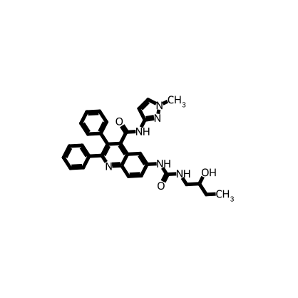 CCC(O)CNC(=O)Nc1ccc2nc(-c3ccccc3)c(-c3ccccc3)c(C(=O)Nc3ccn(C)n3)c2c1